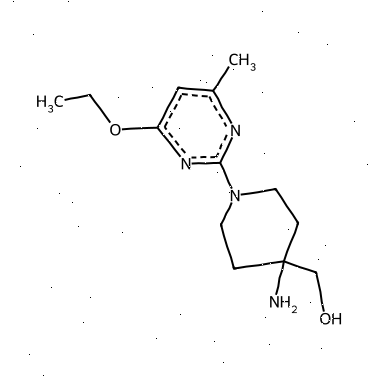 CCOc1cc(C)nc(N2CCC(N)(CO)CC2)n1